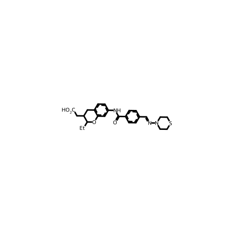 CCC1Oc2cc(NC(=O)c3ccc(C=NN4CCSCC4)cc3)ccc2CC1CC(=O)O